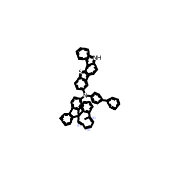 C\C1=C/C=C\C=C\C2(c3ccccc31)c1ccccc1-c1ccc(N(c3ccc(-c4ccccc4)cc3)c3ccc4sc5c(ccc6[nH]c7ccccc7c65)c4c3)cc12